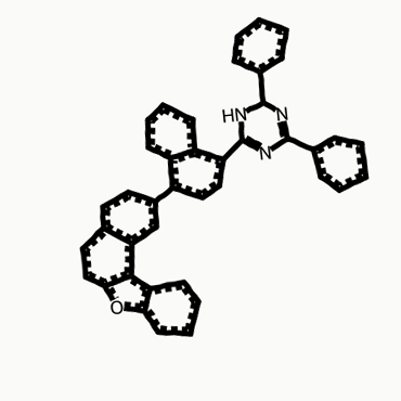 c1ccc(C2=NC(c3ccccc3)NC(c3ccc(-c4ccc5ccc6oc7ccccc7c6c5c4)c4ccccc34)=N2)cc1